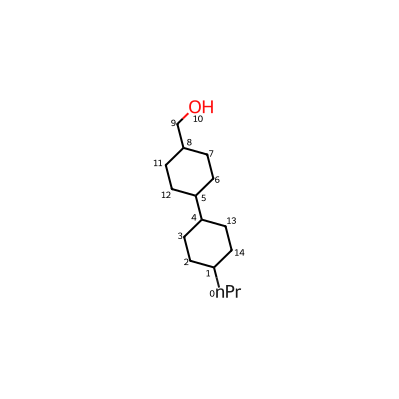 CCCC1CCC(C2CCC(CO)CC2)CC1